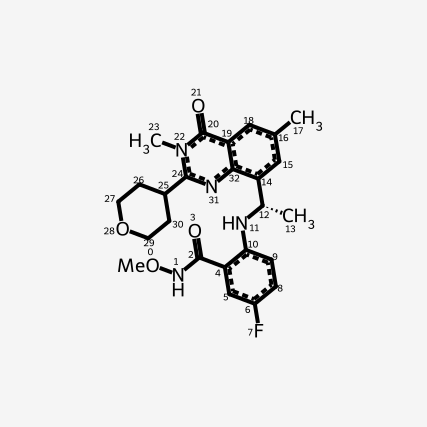 CONC(=O)c1cc(F)ccc1N[C@@H](C)c1cc(C)cc2c(=O)n(C)c(C3CCOCC3)nc12